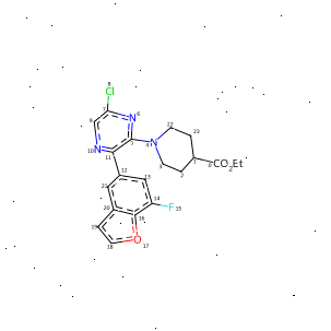 CCOC(=O)C1CCN(c2nc(Cl)cnc2-c2cc(F)c3occc3c2)CC1